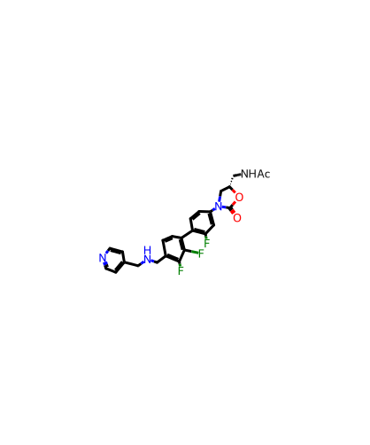 CC(=O)NC[C@H]1CN(c2ccc(-c3ccc(CNCc4ccncc4)c(F)c3F)c(F)c2)C(=O)O1